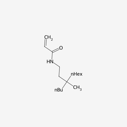 C=CC(=O)NCCC(C)(CCCC)CCCCCC